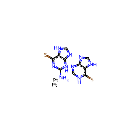 Nc1nc(=S)c2[nH]cnc2[nH]1.S=c1[nH]cnc2nc[nH]c12.[Pt].[Pt]